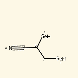 N#CC([SeH])C[SeH]